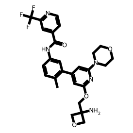 Cc1ccc(NC(=O)c2ccnc(C(F)(F)F)c2)cc1-c1cc(OCC2(N)COC2)nc(N2CCOCC2)c1